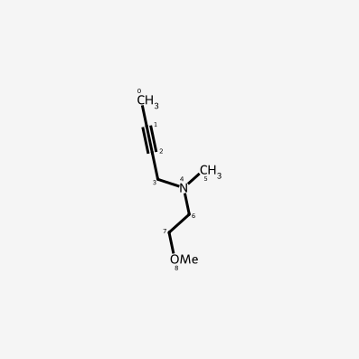 CC#CCN(C)CCOC